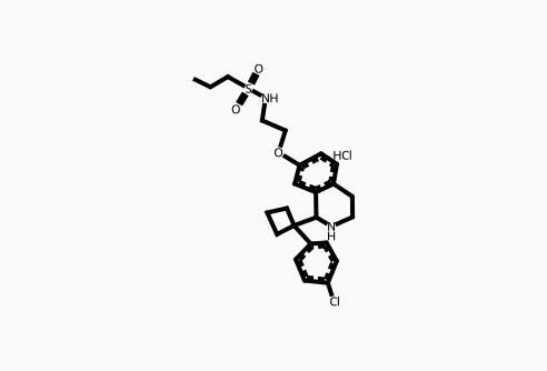 CCCS(=O)(=O)NCCOc1ccc2c(c1)C(C1(c3ccc(Cl)cc3)CCC1)NCC2.Cl